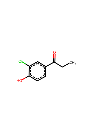 CCC(=O)c1ccc(O)c(Cl)c1